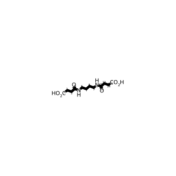 O=C(O)CCC(=O)NCCCCNC(=O)CCC(=O)O